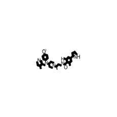 COc1ccc(N(Cc2cnccc2C)C2CCN([C@H](C)CCNC(=O)c3c(C)cc(-c4ccc[nH]4)cc3C)CC2)cc1